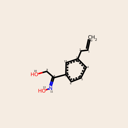 C=CCc1cccc(C(CO)=NO)c1